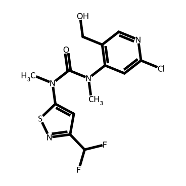 CN(C(=O)N(C)c1cc(Cl)ncc1CO)c1cc(C(F)F)ns1